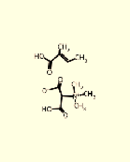 C/C=C(\C)C(=O)O.C[N+](C)(C)C(C(=O)[O-])C(=O)O